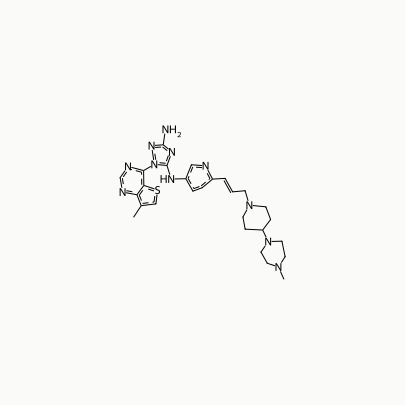 Cc1csc2c(-n3nc(N)nc3Nc3ccc(C=CCN4CCC(N5CCN(C)CC5)CC4)nc3)ncnc12